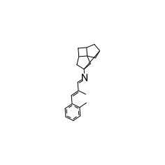 CC(/C=N/C12CC3CC4CC1CC43C2)=C\c1ccccc1C